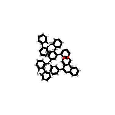 c1ccc(-c2cc(N(c3cccc(-c4cc5ccccc5c5ccccc45)c3)c3cccc4oc5ccccc5c34)ccc2-c2ccccc2-n2c3ccccc3c3ccccc32)cc1